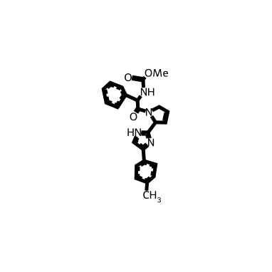 COC(=O)NC(C(=O)N1CC=CC1c1nc(-c2ccc(C)cc2)c[nH]1)c1ccccc1